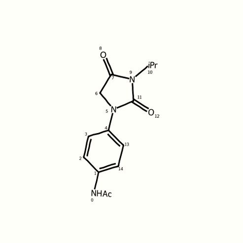 CC(=O)Nc1ccc(N2CC(=O)N(C(C)C)C2=O)cc1